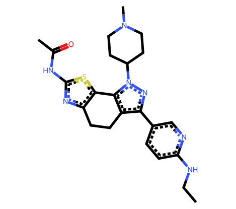 CCNc1ccc(-c2nn(C3CCN(C)CC3)c3c2CCc2nc(NC(C)=O)sc2-3)cn1